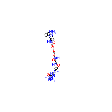 CCCCc1nc2c(N)cc3ccccc3c2n1CC(C)(C)CNC(=O)CCOCCOCCOCCNC(=O)CCCNC(=O)c1ccc(NCc2cnc3nc(N)[nH]c(=O)c3n2)cc1